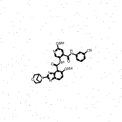 COc1cc(C(=O)Nc2cccc(C#N)c2)c(NC(=O)c2c(OC)ccc3nc(N4C5COCC4C5)sc23)cn1